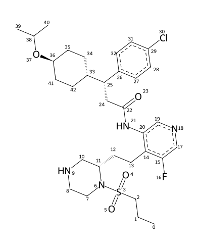 CCCS(=O)(=O)N1CCNC[C@@H]1CCc1c(F)cncc1NC(=O)C[C@@H](c1ccc(Cl)cc1)[C@H]1CC[C@H](OC(C)C)CC1